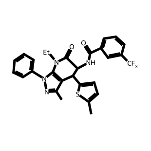 CCN1C(=O)C(NC(=O)c2cccc(C(F)(F)F)c2)C(c2ccc(C)s2)c2c(C)nn(-c3ccccc3)c21